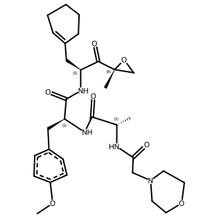 COc1ccc(C[C@H](NC(=O)[C@H](C)NC(=O)CN2CCOCC2)C(=O)N[C@@H](CC2=CCCCC2)C(=O)[C@@]2(C)CO2)cc1